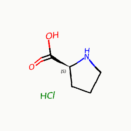 Cl.O=C(O)[C@@H]1CCCN1